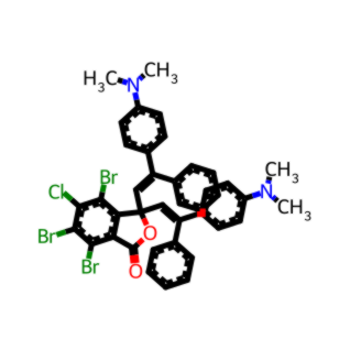 CN(C)c1ccc(/C(=C/C2(/C=C(\c3ccccc3)c3ccc(N(C)C)cc3)OC(=O)c3c(Br)c(Br)c(Cl)c(Br)c32)c2ccccc2)cc1